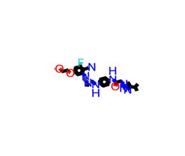 COCCOc1cc(F)c(C#N)c(/N=C/N(C)CNc2ccc(NC(=O)Cn3cc(C(C)C)nn3)cc2)c1